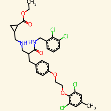 CCOC(=O)C1CC1CNCC(Cc1ccc(OCCOc2c(Cl)cc(C)cc2Cl)cc1)C(=O)NCc1cccc(Cl)c1Cl